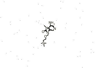 Cn1c(=O)n(COCC[Si](C)(C)C)c2cncc(N)c21